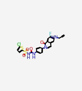 C#CCNc1cc2ccn(-c3ccc(NC(=O)NS(=O)(=O)c4ccc(Cl)s4)cc3)c(=O)c2cc1F